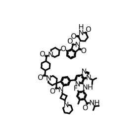 Cc1cc(F)c(Nc2nc(-c3ccc4c(c3)N(C3CC(N5CCCCC5)C3)C(=O)C43CCN(C(=O)C4CCC(C(=O)N5CCC(Oc6cccc7c6C(=O)N([C@H]6CCC(=O)NC6=O)C7=O)CC5)CC4)CC3)cc3ncn(C(C)C)c23)cc1C(=O)NC(C)C